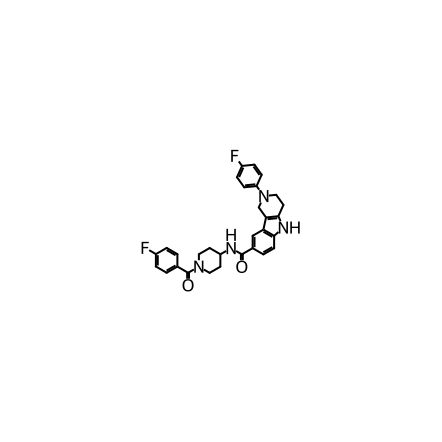 O=C(NC1CCN(C(=O)c2ccc(F)cc2)CC1)c1ccc2[nH]c3c(c2c1)CN(c1ccc(F)cc1)CC3